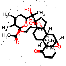 CC(=O)OCC[C@]12CC[C@H]3[C@@H](C[C@H]4O[C@]45CC=CC(=O)[C@]35C)[C@]1(O)CC[C@@]2(O)C(C)(O)C1CC(C)=C(C)C(=O)O1